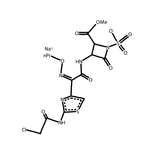 CCCON=C(C(=O)NC1C(=O)N(S(=O)(=O)[O-])C1C(=O)OC)c1csc(NC(=O)CCl)n1.[Na+]